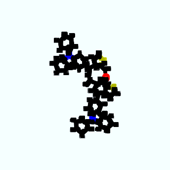 C=C1/C=C(/c2ccc3c(c2)c2ccccc2n3-c2ccccc2)c2ccsc2COc2c1cc(-c1ccc3c(c1)c1ccccc1n3-c1ccccc1)c1ccsc21